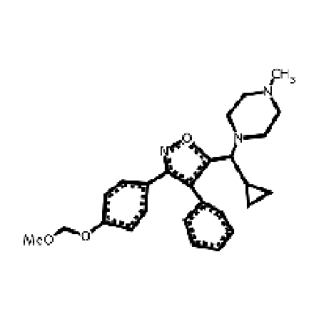 COCOc1ccc(-c2noc(C(C3CC3)N3CCN(C)CC3)c2-c2ccccc2)cc1